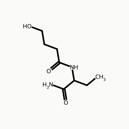 CCC(NC(=O)CCCO)C(N)=O